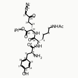 CC(=O)NCCCC[C@H](NC(=O)[C@@H](N)Cc1ccc(O)cc1)C(=O)N[C@@H](CCC(=O)C=[N+]=[N-])C(=O)OC(C)C